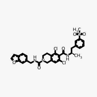 C[C@H](Cc1cccc(S(C)(=O)=O)c1)NC(=O)c1c(Cl)cc2c(c1Cl)CCN(C(=O)NCc1ccc3ccoc3c1)C2